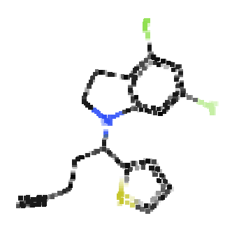 CNCCC(c1cccs1)N1CCc2c(F)cc(F)cc21